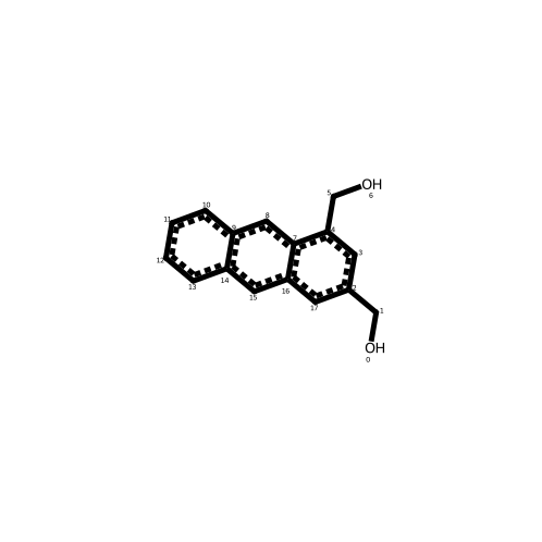 OCc1cc(CO)c2cc3ccccc3cc2c1